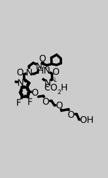 C[C@@H](C(=O)N[C@H](C(=O)N1CCN(C(=O)c2cc3c(OCCOCCOCCOCCO)c(F)c(F)cc3n2C)CC1)C1CCCCC1)N(C)C(=O)O